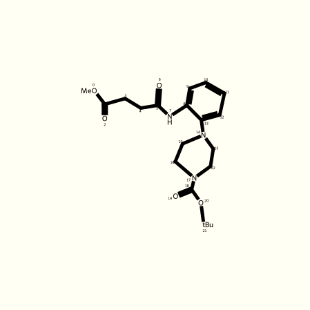 COC(=O)CCC(=O)Nc1ccccc1N1CCN(C(=O)OC(C)(C)C)CC1